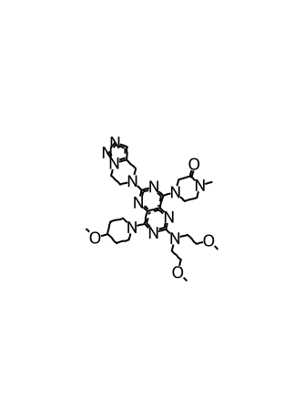 COCCN(CCOC)c1nc(N2CCC(OC)CC2)c2nc(N3CCn4nncc4C3)nc(N3CCN(C)C(=O)C3)c2n1